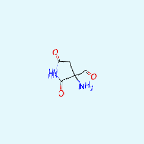 NC1(C=O)CC(=O)NC1=O